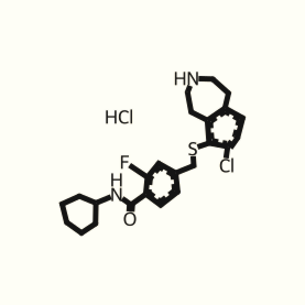 Cl.O=C(NC1CCCCC1)c1ccc(CSc2c(Cl)ccc3c2CCNCC3)cc1F